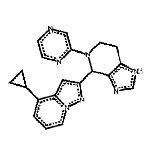 c1cc(C2CC2)c2cc(C3c4nc[nH]c4CCN3c3cnccn3)nn2c1